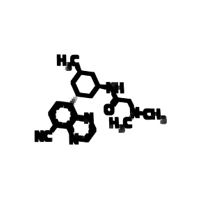 C[C@H]1C[C@@H](NC(=O)CN(C)C)C[C@H](c2ccc(C#N)c3nccnc23)C1